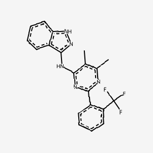 Cc1nc(-c2ccccc2C(F)(F)F)nc(Nc2n[nH]c3ccccc23)c1C